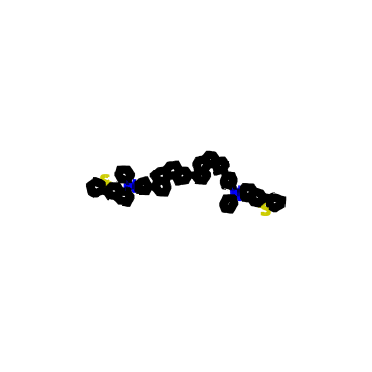 c1ccc(N(c2ccc(-c3ccc4ccc5ccc6c(-c7ccc8c(ccc9ccc%10c(-c%11ccc(N(c%12ccccc%12)c%12cccc%13cc%14c(cc%12%13)sc%12ccccc%12%14)cc%11)cccc%10c98)c7)cccc6c5c4c3)cc2)c2ccc3cc4c(cc3c2)sc2ccccc24)cc1